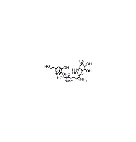 CN/C(=C(/O)CC/C=C(/N)[C@H](O)O[C@@H]1C(N)C[C@@H](N)C(O)C1O)C(O)O[C@@H](O)/C(O)=C\[C@H](N)CCO